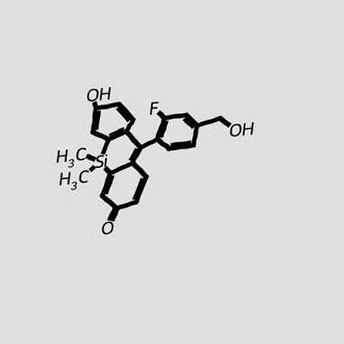 C[Si]1(C)C2=CC(=O)C=CC2=C(c2ccc(CO)cc2F)c2ccc(O)cc21